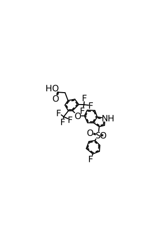 O=C(O)Cc1cc(C(F)(F)F)c(Oc2ccc3[nH]cc(S(=O)(=O)c4ccc(F)cc4)c3c2)c(C(F)(F)F)c1